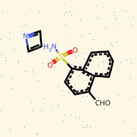 C1=CN=C1.NS(=O)(=O)c1ccc(C=O)c2ccccc12